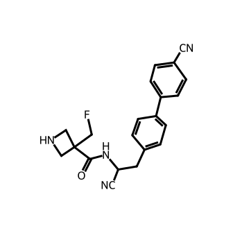 N#Cc1ccc(-c2ccc(CC(C#N)NC(=O)C3(CF)CNC3)cc2)cc1